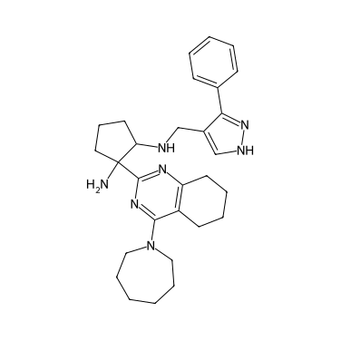 NC1(c2nc3c(c(N4CCCCCC4)n2)CCCC3)CCCC1NCc1c[nH]nc1-c1ccccc1